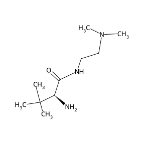 CN(C)CCNC(=O)[C@@H](N)C(C)(C)C